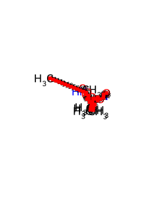 CCC=CCC=CCC=CCC=CCC=CCC=CCCC(=O)NC(C)C(=O)Oc1ccc(-c2sc3cc(O[Si](C)(C)C(C)(C)C)ccc3c2C(=O)c2ccc(OCCN3CCOCC3)cc2)cc1